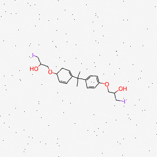 CC(C)(C1=CCC(OCC(O)CI)C=C1)c1ccc(OCC(O)CI)cc1